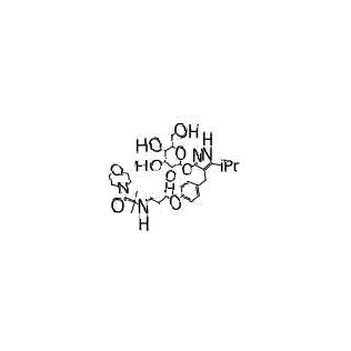 CC(C)c1[nH]nc(O[C@@H]2O[C@H](CO)[C@@H](O)[C@H](O)[C@H]2O)c1Cc1ccc(OCCCNC(C)(C)C(=O)N2CCOCC2)cc1